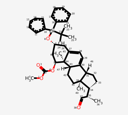 COC(=O)O[C@H]1C[C@H](O[Si](c2ccccc2)(c2ccccc2)C(C)(C)C)CC2=CC=C3[C@@H]4CC[C@H]([C@H](C)C=O)[C@@]4(C)CC[C@@H]3[C@]21C